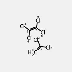 C=C(Cl)Cl.ClC(Cl)=C(Cl)Cl